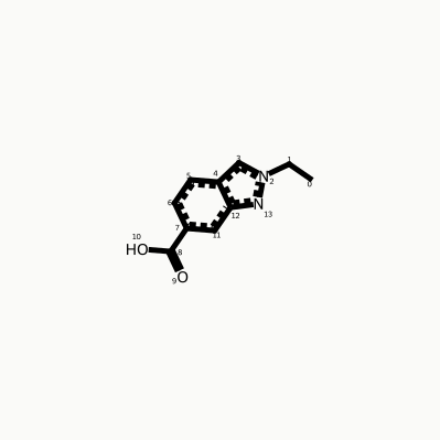 CCn1cc2ccc(C(=O)O)cc2n1